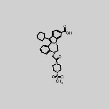 CS(=O)(=O)N1CCN(C(=O)CN2CCn3c(c(C4CCCCC4)c4ccc(C(=O)O)cc43)-c3ccccc32)CC1